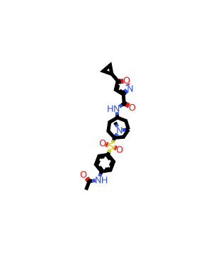 CC(=O)Nc1ccc(S(=O)(=O)C23CCC(NC(=O)c4cc(C5CC5)on4)CC(C2)N3C)cc1